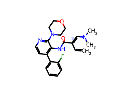 C=C/C(=C\N(C)C)C(=O)Nc1c(-c2ccccc2F)ccnc1N1CCOCC1